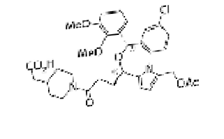 COc1cccc([C@H]2O[C@H](CCC(=O)N3CCC(CC(=O)O)CC3)c3ccc(COC(C)=O)n3-c3ccc(Cl)cc32)c1OC